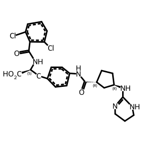 O=C(N[C@@H](Cc1ccc(NC(=O)[C@@H]2CC[C@@H](NC3=NCCCN3)C2)cc1)C(=O)O)c1c(Cl)cccc1Cl